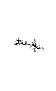 CCC(C)(C)C(C)(CC)C(=O)OCOC(=O)CC(=O)OC(C(F)(F)F)C(F)(F)F